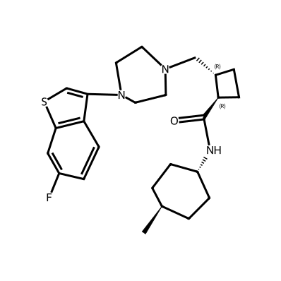 C[C@H]1CC[C@H](NC(=O)[C@@H]2CC[C@H]2CN2CCN(c3csc4cc(F)ccc34)CC2)CC1